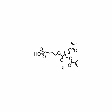 C=C(C)C(=O)OCC(C)(COC(=O)C(=C)C)C(=O)OCCCCS(=O)(=O)O.[KH]